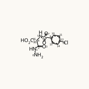 NNC(=O)[C@@H](NS(=O)(=O)c1ccc(Cl)cc1)C(=O)O